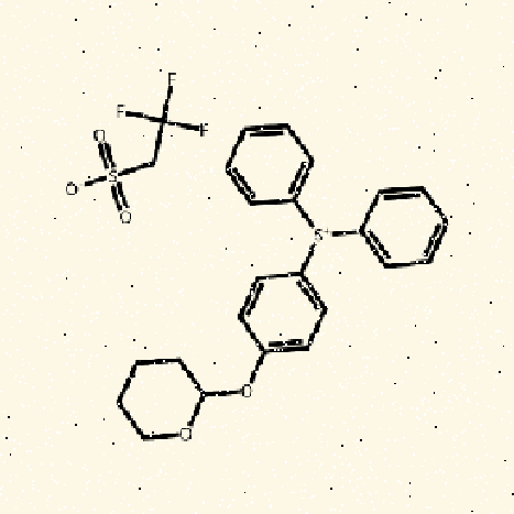 O=S(=O)([O-])CC(F)(F)F.c1ccc([S+](c2ccccc2)c2ccc(OC3CCCCO3)cc2)cc1